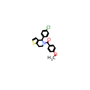 COc1ccc(C(=O)N2CCc3sccc3C2c2ccc(Cl)cc2)cc1